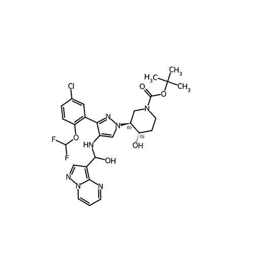 CC(C)(C)OC(=O)N1CC[C@H](O)[C@@H](n2cc(NC(O)c3cnn4cccnc34)c(-c3cc(Cl)ccc3OC(F)F)n2)C1